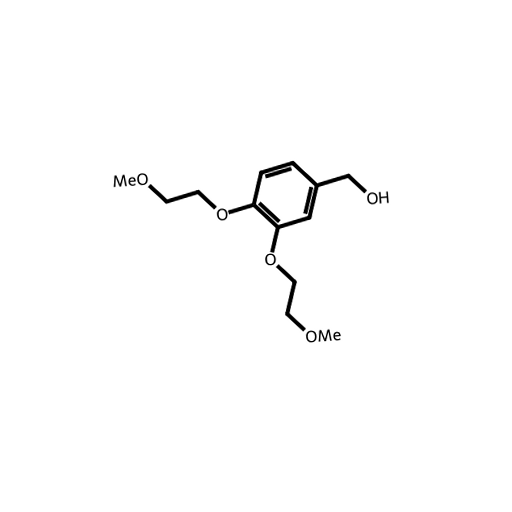 COCCOc1ccc(CO)cc1OCCOC